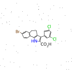 O=C(O)c1[nH]c2c(c1-c1cc(Cl)cc(Cl)c1)CCc1cc(Br)ccc1-2